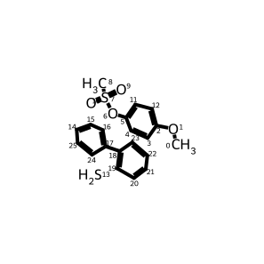 COc1ccc(OS(C)(=O)=O)cc1.S.c1ccc(-c2ccccc2)cc1